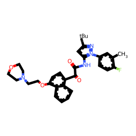 Cc1cc(-n2nc(C(C)(C)C)cc2NC(=O)C(=O)c2ccc(OCCN3CCOCC3)c3ccccc23)ccc1F